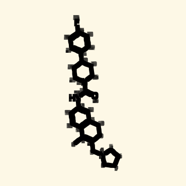 CC1=C(CN2CCCC2)CCc2cc(NC(=O)N3CCC(c4ccc(F)cc4)CC3)ccc21